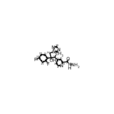 CC(c1ccnc(C(=O)NN)c1)C(O)(Cn1cncn1)c1ccc(F)cc1F